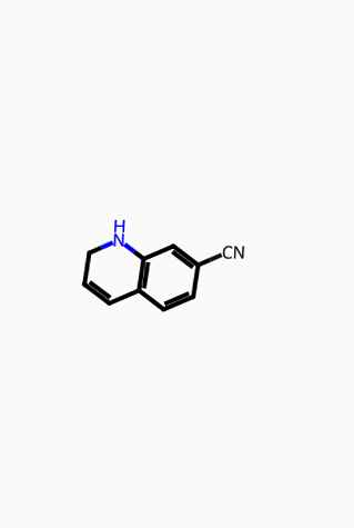 N#Cc1ccc2c(c1)NCC=C2